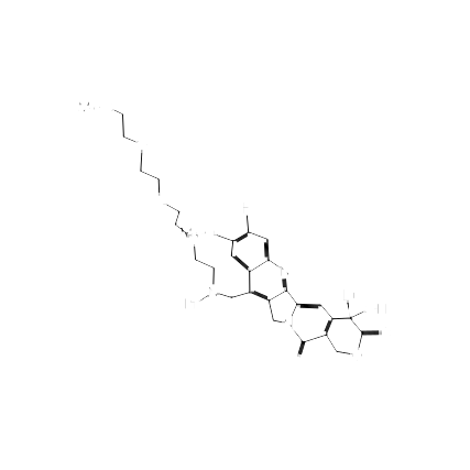 CC[C@@]1(O)C(=O)OCc2c1cc1n(c2=O)Cc2c-1nc1cc(F)c(OC)cc1c2CN(CCOCCOCCOCCOC)C(C)C